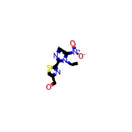 C=Cn1c([N+](=O)[O-])cnc1-c1nc(C=O)cs1